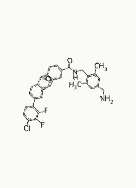 Cc1cc(CN)cc(C)c1CNC(=O)c1ccc2c(c1)c1oc2c2ccc(-c3ccc(Cl)c(F)c3F)cc21